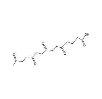 CC(=O)CCC(=O)CCC(=O)CCC(=O)CCCC(=O)O